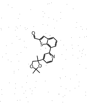 CC1(C)OCC(C)(c2ccnc(-c3cccc4cc(C=O)sc34)c2)O1